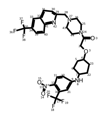 O=C(COC1CCC(Nc2ccc([N+](=O)[O-])c(C(F)(F)F)c2)CC1)N1CCN(Cc2ccc3cc(C(F)(F)F)ccc3n2)CC1